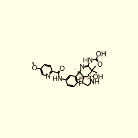 COc1ccc(C(=O)Nc2ccc(F)c([C@@]3(C)N=C(NC(=O)O)C(C)(C)[S@@]4(O)NCC[C@@H]34)c2)nc1